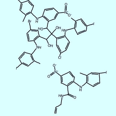 C=CCNC(=O)c1cc([N+](=O)[O-])ccc1Nc1ccc(I)cc1C.Cc1cc(I)ccc1Nc1ccc(Br)cc1C(O)C(O)(c1cc(Cl)ccc1Nc1ccc(I)cc1C)C(O)c1cc([N+](=O)[O-])ccc1Nc1ccc(I)cc1C